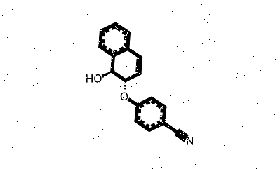 N#Cc1ccc(O[C@H]2C=Cc3ccccc3[C@@H]2O)cc1